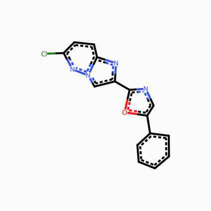 Clc1ccc2nc(-c3ncc(-c4ccccc4)o3)cn2n1